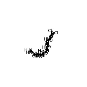 Cn1cc(NC(=O)c2cc(NC(=O)c3cc(NC(=O)c4cc5cc(NC(=O)c6ccc(N(CCCl)CCCl)cc6)ccc5n4C)cn3C)cn2C)cc1C(=O)NCCC(=N)N